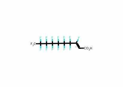 O=C(O)/C=C(\F)C(F)(F)C(F)(F)C(F)(F)C(F)(F)C(F)(F)C(F)(F)C(F)(F)F